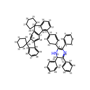 C1=CCCC(C2=C(C3C=CC(c4cccc5c4-c4cc6c(cc4C54CCCCC4)C4(CCCCC4)c4ccccc4-6)=CC3)NC(c3ccccc3)C(c3ccccc3)=N2)=C1